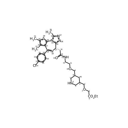 CCOC(=O)COCC1CNCC(COCCNC(=O)C[C@@H]2N=C(c3ccc(Cl)cc3)c3c(sc(C)c3C)-n3c(C)nnc32)C1